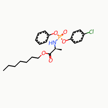 CCCCCCCOC(=O)[C@H](C)N[P@](=O)(Oc1ccccc1)Oc1ccc(Cl)cc1